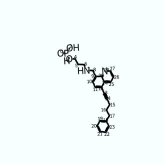 O=[PH](O)OCCCNCc1ccc(C#CCCCc2ccccc2)c2cccnc12